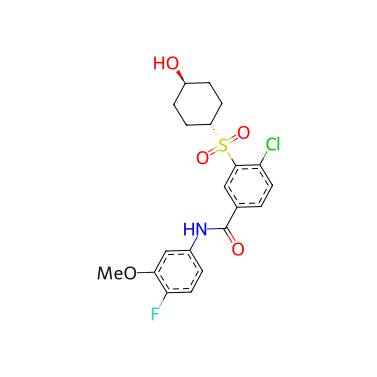 COc1cc(NC(=O)c2ccc(Cl)c(S(=O)(=O)[C@H]3CC[C@H](O)CC3)c2)ccc1F